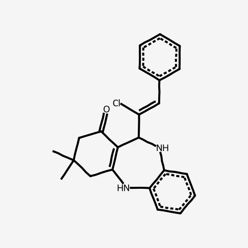 CC1(C)CC(=O)C2=C(C1)Nc1ccccc1NC2C(Cl)=Cc1ccccc1